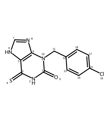 O=c1[nH]c(=S)c2[nH]cnc2n1Cc1ccc(Cl)cc1